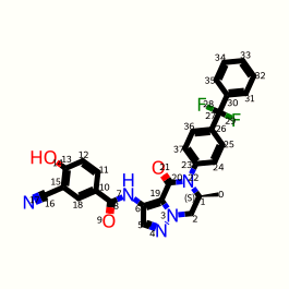 C[C@H]1Cn2ncc(NC(=O)c3ccc(O)c(C#N)c3)c2C(=O)N1c1ccc(C(F)(F)c2ccccc2)cc1